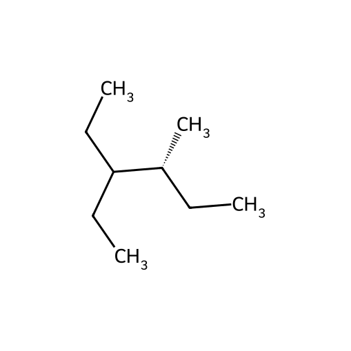 CCC(CC)[C@H](C)CC